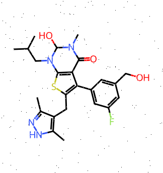 Cc1n[nH]c(C)c1Cc1sc2c(c1-c1cc(F)cc(CO)c1)C(=O)N(C)C(O)N2CC(C)C